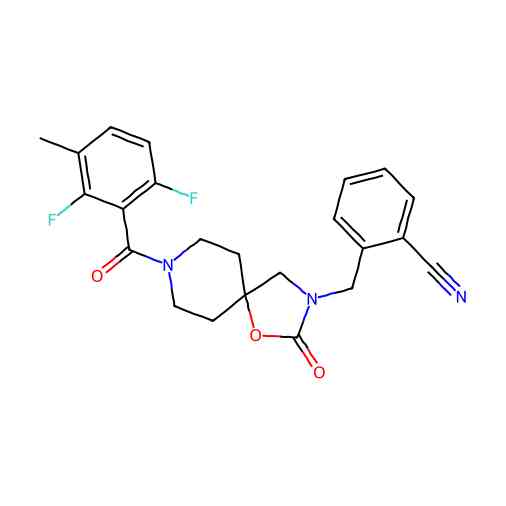 Cc1ccc(F)c(C(=O)N2CCC3(CC2)CN(Cc2ccccc2C#N)C(=O)O3)c1F